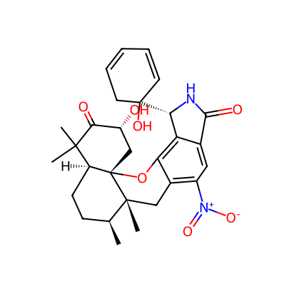 C[C@H]1CC[C@H]2C(C)(C)C(=O)[C@H](O)C[C@]23Oc2c(c([N+](=O)[O-])cc4c2[C@H](C2(O)C=CC=CC2)NC4=O)C[C@]13C